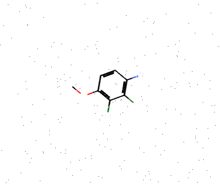 COc1ccc(N)c(Cl)c1Cl